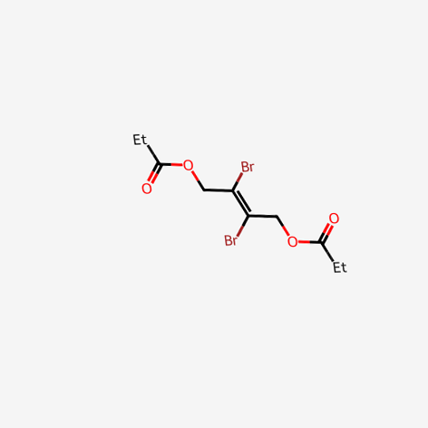 CCC(=O)OCC(Br)=C(Br)COC(=O)CC